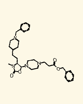 CN1C(=O)OC(N2CCN(CCC(=O)OCc3ccccc3)CC2)C1CCC1CCN(Cc2ccccc2)CC1